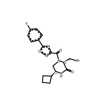 CC(C)C[C@H]1C(=O)N[C@@H](C2CCC2)CN1C(=O)c1noc(-c2ccc(F)cc2)n1